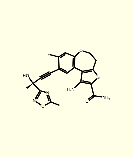 Cc1nc([C@](C)(O)C#Cc2cc3c(cc2F)OCCc2sc(C(N)=O)c(N)c2-3)no1